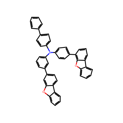 c1ccc(-c2ccc(N(c3ccc(-c4cccc5c4oc4ccccc45)cc3)c3cccc(-c4ccc5c(c4)oc4ccccc45)c3)cc2)cc1